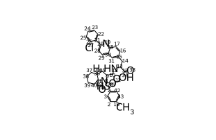 Cc1ccc(S(=O)(=O)N2[C@H](C(=O)NC(Cc3ccc4nc(-c5ccccc5Cl)ccc4c3)C(=O)O)C[C@@H]3CCCC[C@@H]32)cc1